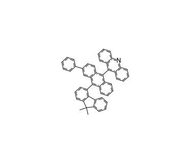 CC1(C)c2ccccc2-c2c(-c3c4ccccc4c(-c4c5ccccc5nc5ccccc45)c4ccc(-c5ccccc5)cc34)cccc21